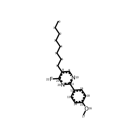 CCCCCCCCc1cnc(-c2ccc(OC)cc2)nc1F